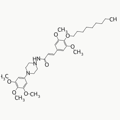 CCCCCCCCCOc1c(OC)cc(/C=C/C(=O)NN2CCN(c3cc(OC)c(OC)c(OC)c3)CC2)cc1OC